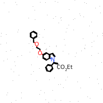 CCOC(=O)/C=C(\c1ccccc1)n1ccc2cc(OCCOCc3ccccc3)ccc21